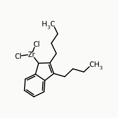 CCCCC1=C(CCCC)[CH]([Zr]([Cl])[Cl])c2ccccc21